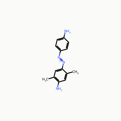 Cc1cc(/N=N/c2ccc(N)cc2)c(C)cc1N